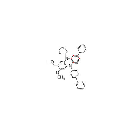 COc1cc(N(c2ccc(-c3ccccc3)cc2)c2ccc(-c3ccccc3)cc2)c(N(c2ccccc2)c2ccccc2)cc1CO